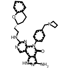 Nc1n[nH]c2c1c(=O)n(-c1ccc(CN3CCC3)cc1)c1nc(NCC[C@H]3CCc4ccccc4O3)ncc21